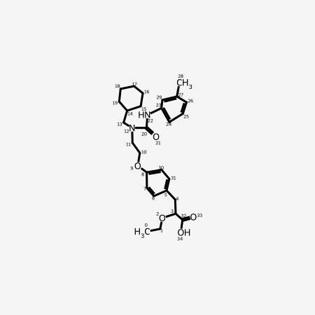 CCOC(Cc1ccc(OCCN(CC2CCCCC2)C(=O)Nc2cccc(C)c2)cc1)C(=O)O